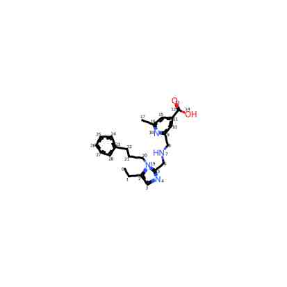 CCc1cnc(CNCc2cc(C(=O)O)cc(C)n2)n1CCCc1ccccc1